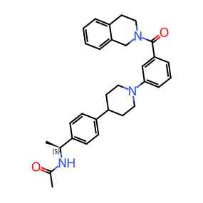 CC(=O)N[C@@H](C)c1ccc(C2CCN(c3cccc(C(=O)N4CCc5ccccc5C4)c3)CC2)cc1